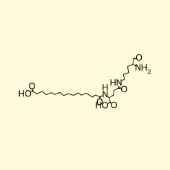 N[C@H](C=O)CCCCNC(=O)CC[C@H](NC(=O)CCCCCCCCCCCCCCC(=O)O)C(=O)O